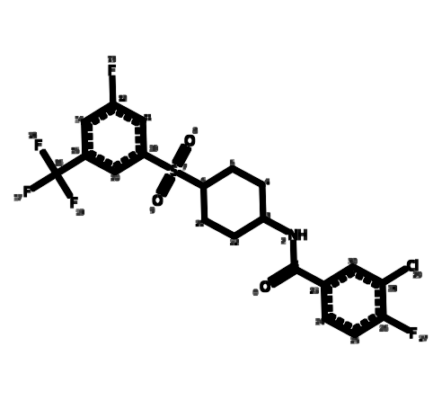 O=C(NC1CCC(S(=O)(=O)c2cc(F)cc(C(F)(F)F)c2)CC1)c1ccc(F)c(Cl)c1